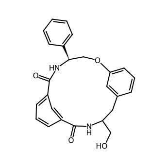 O=C1NC(CO)Cc2cccc(c2)OC[C@H](c2ccccc2)NC(=O)c2cccc1c2